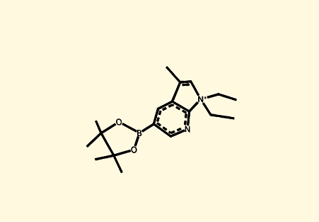 CC[N+]1(CC)C=C(C)c2cc(B3OC(C)(C)C(C)(C)O3)cnc21